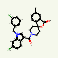 Cc1ccc2c(c1)C(=O)OC21CCN(C(=O)c2cn(Cc3cccc(F)c3)c3cc(Cl)ccc23)CC1